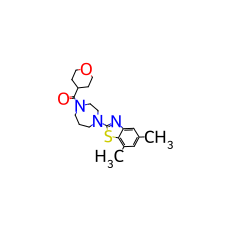 Cc1cc(C)c2sc(N3CCCN(C(=O)C4CCOCC4)CC3)nc2c1